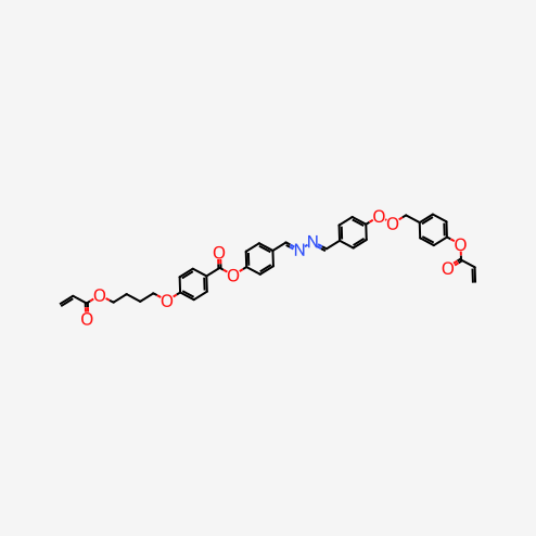 C=CC(=O)OCCCCOc1ccc(C(=O)Oc2ccc(/C=N/N=C/c3ccc(OOCc4ccc(OC(=O)C=C)cc4)cc3)cc2)cc1